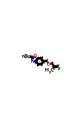 CCCCc1nc2ccc(COC/C(C)=C/F)cc2o1